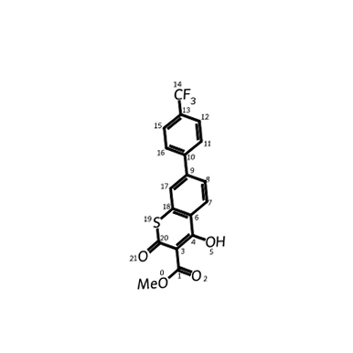 COC(=O)c1c(O)c2ccc(-c3ccc(C(F)(F)F)cc3)cc2sc1=O